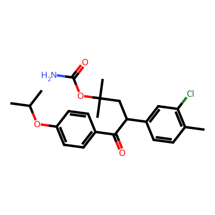 Cc1ccc(C(CC(C)(C)OC(N)=O)C(=O)c2ccc(OC(C)C)cc2)cc1Cl